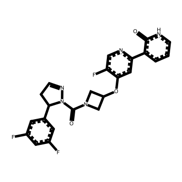 O=C(N1CC(Oc2cc(-c3ccc[nH]c3=O)ncc2F)C1)N1N=CCC1c1cc(F)cc(F)c1